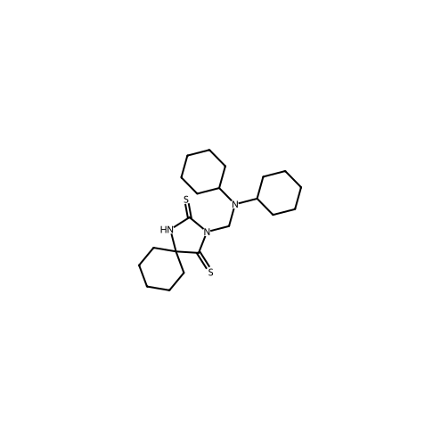 S=C1NC2(CCCCC2)C(=S)N1CN(C1CCCCC1)C1CCCCC1